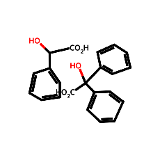 O=C(O)C(O)(c1ccccc1)c1ccccc1.O=C(O)C(O)c1ccccc1